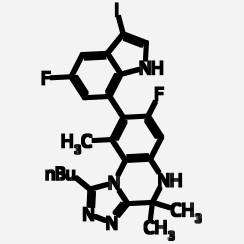 CCCCc1nnc2n1-c1c(cc(F)c(-c3cc(F)cc4c(I)c[nH]c34)c1C)NC2(C)C